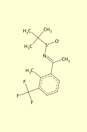 CC(=N[S+]([O-])C(C)(C)C)c1cccc(C(F)(F)F)c1C